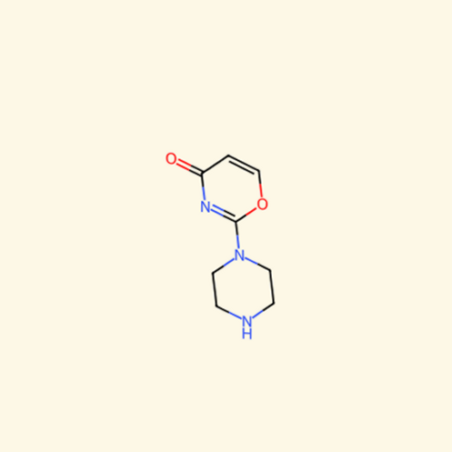 O=c1ccoc(N2CCNCC2)n1